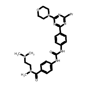 CC(C)c1nc(-c2ccc(NC(=O)Nc3ccc(C(=O)N(C)CCN(C)C)cc3)cc2)nc(N2CCOCC2)n1